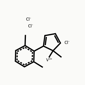 Cc1cccc(C)c1C1=CC=C[C]1(C)[V+3].[Cl-].[Cl-].[Cl-]